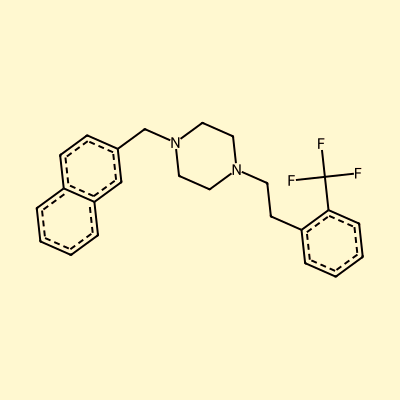 FC(F)(F)c1ccccc1CCN1CCN(Cc2ccc3ccccc3c2)CC1